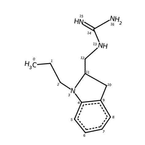 CCCN1c2ccccc2CC1CNC(=N)N